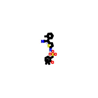 Cc1ccccc1/C(C#N)=C1C=C/C(=N\OS(=O)(=O)CC23CCC(CC2=O)C(C)(C)C3)S\1